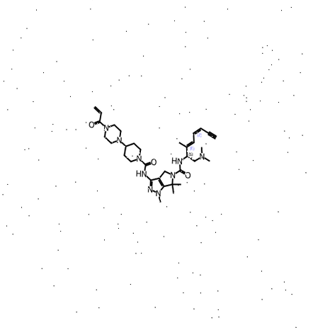 C#C/C=C\C=C(/C)[C@@H](CN(C)C)NC(=O)N1Cc2c(NC(=O)N3CCC(N4CCN(C(=O)C=C)CC4)CC3)nn(C)c2C1(C)C